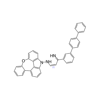 N=C(/C=C\Nn1c2cccc3oc4ccccc4c4cccc1c4c32)c1cccc(-c2ccc(-c3ccccc3)cc2)c1